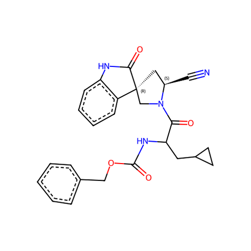 N#C[C@@H]1C[C@@]2(CN1C(=O)C(CC1CC1)NC(=O)OCc1ccccc1)C(=O)Nc1ccccc12